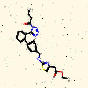 CCCC(=O)n1nnnc1-c1ccccc1-c1ccc(CNc2nc(CC(=O)OCC)cs2)cc1